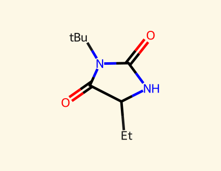 CCC1NC(=O)N(C(C)(C)C)C1=O